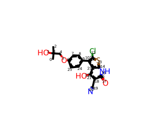 CC(C)(O)COc1ccc(-c2c(Cl)sc3[nH]c(=O)c(C#N)c(O)c23)cc1